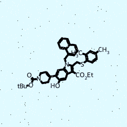 CCOC(=O)c1c(CSc2ccc(C)cc2C)n(Cc2cccc3ccccc23)c2cc(C3=CCN(C(=O)OC(C)(C)C)CC3)c(O)cc12